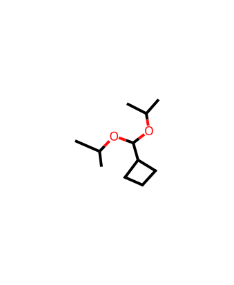 CC(C)OC(OC(C)C)C1CCC1